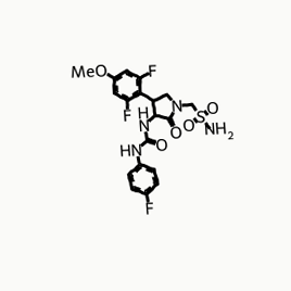 COc1cc(F)c(C2CN(CS(N)(=O)=O)C(=O)C2NC(=O)Nc2ccc(F)cc2)c(F)c1